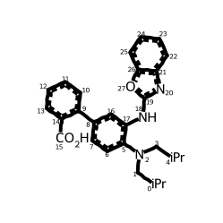 CC(C)CN(CC(C)C)c1ccc(-c2ccccc2C(=O)O)cc1Nc1nc2ccccc2o1